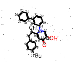 CC(Cc1ccc(C(C)(C)C)cc1)c1cc(=O)c(O)cn1-c1cccc(-c2ccccc2)c1